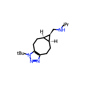 CC(C)NC[C@@H]1[C@@H]2CCc3c(nnn3C(C)(C)C)CC[C@@H]21